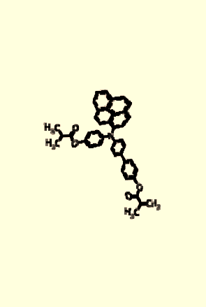 C=C(C)C(=O)Oc1ccc(-c2ccc(N(c3ccc(OC(=O)C(C)C)cc3)c3ccc4ccc5cccc6ccc3c4c56)cc2)cc1